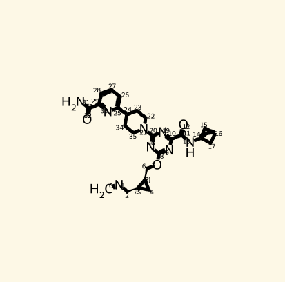 C=NC[C@@H]1C[C@@H]1COc1nc(C(=O)NC23CC(C2)C3)nc(N2CCC(c3cccc(C(N)=O)n3)CC2)n1